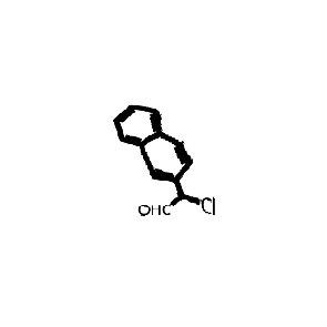 O=CC(Cl)c1ccc2ccccc2c1